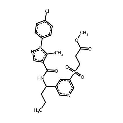 CCCC(NC(=O)c1cnn(-c2ccc(Cl)cc2)c1C)c1cncc(S(=O)(=O)CCC(=O)OC)c1